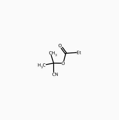 [CH2]CC(=O)OC(C)(C)C#N